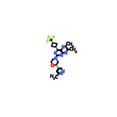 Cc1cc([C@H]2CN(c3nc4nc(C)c(C)nc4c([C@H]4C[C@@H](C(F)(F)F)C4)n3)CCO2)cnn1